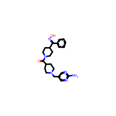 Nc1ncc(CN2CCC(C(=O)N3CCC(C(=NO)c4ccccc4)CC3)CC2)cn1